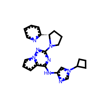 c1ccc([C@@H]2CCCN2c2nc(Nc3cn(C4CCC4)cn3)c3cccn3n2)nc1